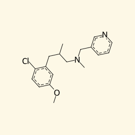 COc1ccc(Cl)c(CC(C)CN(C)Cc2cccnc2)c1